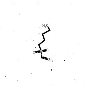 [CH2]CCCCS(=O)(=O)C=C